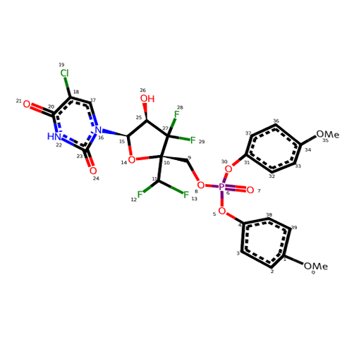 COc1ccc(OP(=O)(OC[C@@]2(C(F)F)O[C@@H](n3cc(Cl)c(=O)[nH]c3=O)[C@@H](O)C2(F)F)Oc2ccc(OC)cc2)cc1